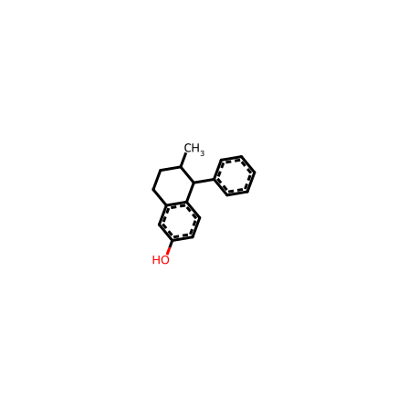 CC1CCc2cc(O)ccc2C1c1ccccc1